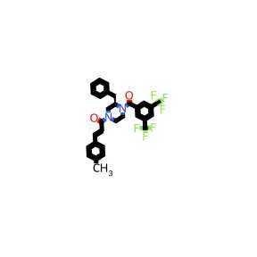 Cc1ccc(C=CC(=O)N2CCN(C(=O)c3cc(C(F)(F)F)cc(C(F)(F)F)c3)[C@H](Cc3ccccc3)C2)cc1